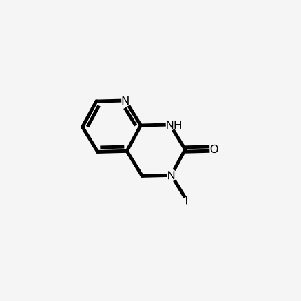 O=C1Nc2ncccc2CN1I